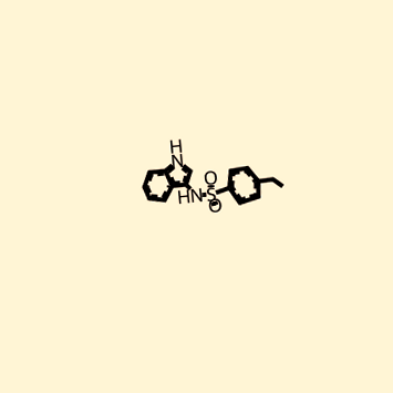 CCc1ccc(S(=O)(=O)Nc2c[nH]c3ccccc23)cc1